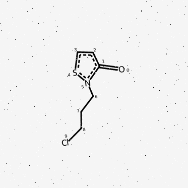 O=c1ccsn1CCCCl